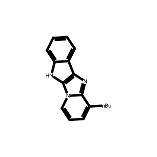 CCCCc1cccn2c1nc1c3ccccc3[nH]c12